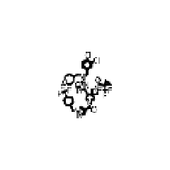 O=C(c1cnn(Cc2ccc(C(F)(F)F)cc2)c1)N1CC(c2noc(N(Cc3ccc(Cl)c(Cl)c3)CC3CCOCC3)n2)C2(C1)CN(C(=O)C1(C(F)(F)F)CC1)C2